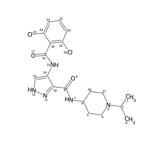 CC(C)N1CCC(NC(=O)c2n[nH]cc2NC(=O)c2c(Cl)cccc2Cl)CC1